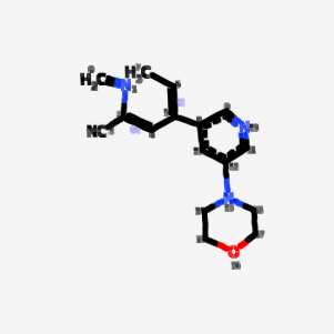 C=N/C(C#N)=C\C(=C/C)c1cncc(N2CCOCC2)c1